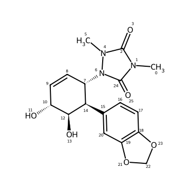 Cn1c(=O)n(C)n([C@H]2C=C[C@@H](O)[C@H](O)[C@@H]2c2ccc3c(c2)OCO3)c1=O